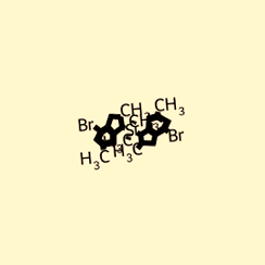 Cc1cc(Br)c2c(c1)C([Si](C)(C)C1c3cc(C)cc(Br)c3CC1C)C(C)C2